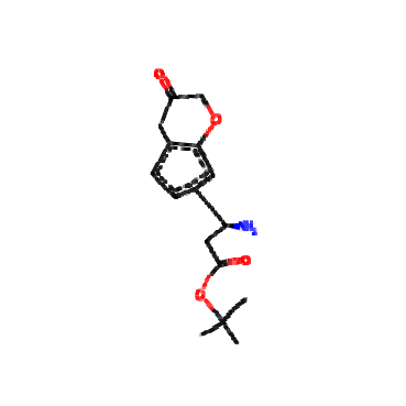 CC(C)(C)OC(=O)C[C@H](N)c1ccc2c(c1)OCC(=O)C2